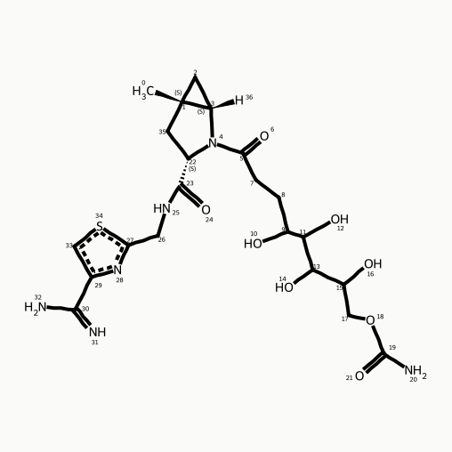 C[C@@]12C[C@@H]1N(C(=O)CCC(O)C(O)C(O)C(O)COC(N)=O)[C@H](C(=O)NCc1nc(C(=N)N)cs1)C2